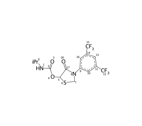 CC(C)NC(=O)OC1SCN(c2cc(C(F)(F)F)cc(C(F)(F)F)c2)C1=O